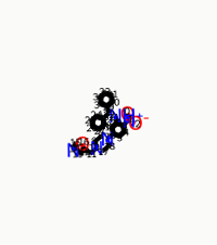 O=[N+]([O-])c1ccc(N2CCN(Cc3cnco3)CC2)cc1NC(c1ccccc1)c1ccccc1